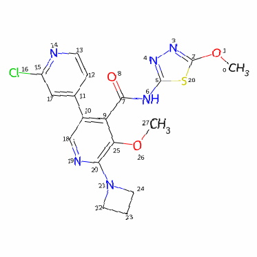 COc1nnc(NC(=O)c2c(-c3ccnc(Cl)c3)cnc(N3CCC3)c2OC)s1